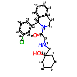 O=C(CNCC1(O)CCCCC1)N1CCc2ccccc2C1c1cccc(Cl)c1